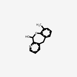 Cc1cccc2c1OC(O)c1ncccc1C2